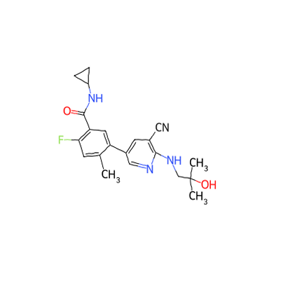 Cc1cc(F)c(C(=O)NC2CC2)cc1-c1cnc(NCC(C)(C)O)c(C#N)c1